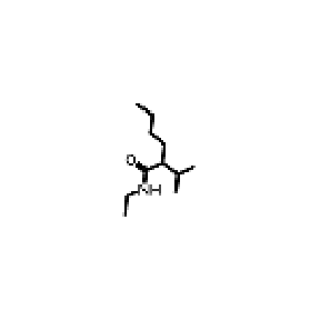 CCCCC(C(=O)NCC)C(C)C